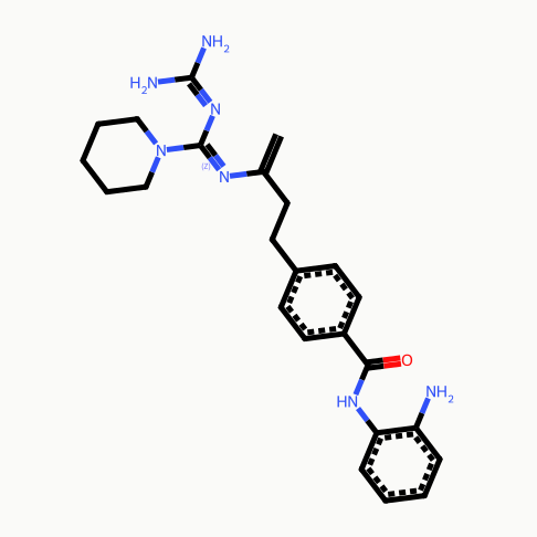 C=C(CCc1ccc(C(=O)Nc2ccccc2N)cc1)/N=C(\N=C(N)N)N1CCCCC1